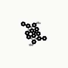 CC(C)(C)c1ccc(N(c2ccc(-c3ccccc3)cc2)c2cc3c(c4c2sc2ccccc24)-c2c(cc(N(c4ccc(-c5ccccc5)cc4)c4ccc(C(C)(C)C)cc4)c4sc5ccccc5c24)C3(c2ccccc2)c2ccccc2)cc1